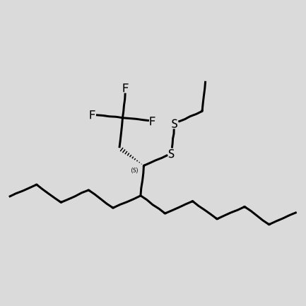 CCCCCCC(CCCCC)[C@H](CC(F)(F)F)SSCC